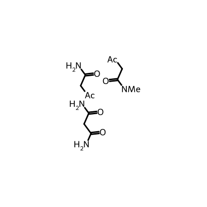 CC(=O)CC(N)=O.CNC(=O)CC(C)=O.NC(=O)CC(N)=O